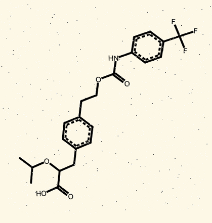 CC(C)OC(Cc1ccc(CCOC(=O)Nc2ccc(C(F)(F)F)cc2)cc1)C(=O)O